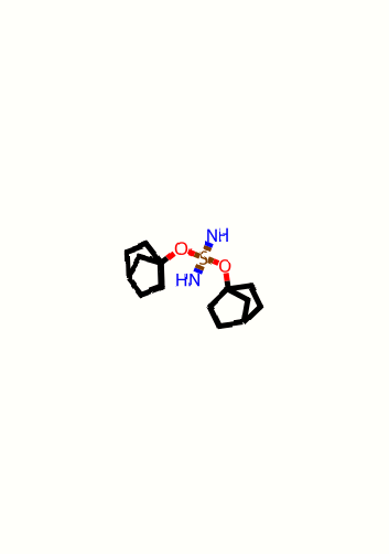 N=S(=N)(OC12CCC(CC1)C2)OC12CCC(CC1)C2